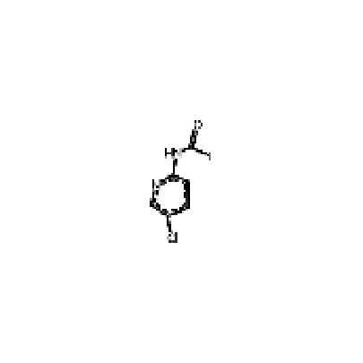 O=C(I)Nc1ccc(Cl)cn1